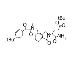 CN(Cc1cccc2c1CN(C(CCC(=O)OC(C)(C)C)C(N)=O)C2=O)C(=O)C(=O)c1ccc(C(C)(C)C)cc1